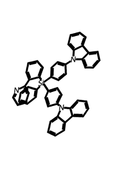 c1ccc([Si](c2ccc(-n3c4ccccc4c4ccccc43)cc2)(c2ccc(-n3c4ccccc4c4ccccc43)cc2)c2ccccc2-c2ccccn2)cc1